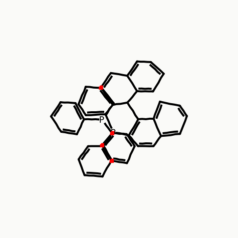 C1=C[C@H](P(c2ccccc2)c2ccccc2)C(c2c(P(c3ccccc3)c3ccccc3)ccc3ccccc23)c2ccccc21